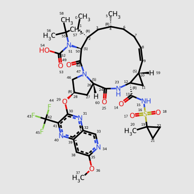 CC[C@@H]1C[C@H](C)CCC=C[C@@H]2C[C@@]2(C(=O)NS(=O)(=O)C2(C)CC2)NC(=O)[C@@H]2C[C@@H](Oc3nc4cnc(OC)cc4nc3C(F)(F)F)CN2C(=O)[C@H]1N(C(=O)O)C(C)(C)C